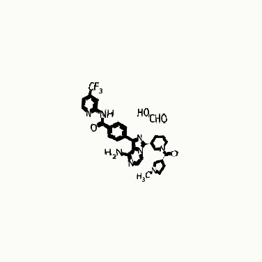 CN1CC[C@@H](C(=O)N2CCC[C@@H](c3nc(-c4ccc(C(=O)Nc5cc(C(F)(F)F)ccn5)cc4)c4c(N)nccn34)C2)C1.O=CO